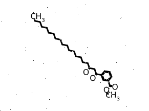 CCCCCCCCCCCCCCCCCC(=O)CC(=O)c1cccc(C(=O)OC)c1